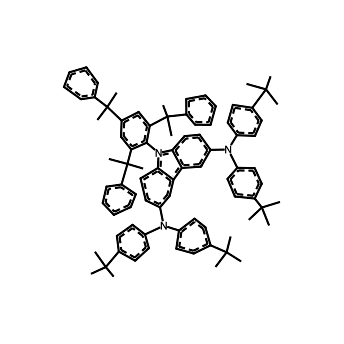 CC(C)(C)c1ccc(N(c2ccc(C(C)(C)C)cc2)c2ccc3c(c2)c2cc(N(c4ccc(C(C)(C)C)cc4)c4ccc(C(C)(C)C)cc4)ccc2n3-c2c(C(C)(C)c3ccccc3)cc(C(C)(C)c3ccccc3)cc2C(C)(C)c2ccccc2)cc1